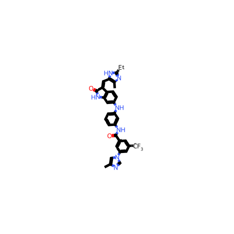 CCc1nc(C)c(C=C2C(=O)Nc3cc(Nc4cccc(NC(=O)c5cc(-n6cnc(C)c6)cc(C(F)(F)F)c5)c4)ccc32)[nH]1